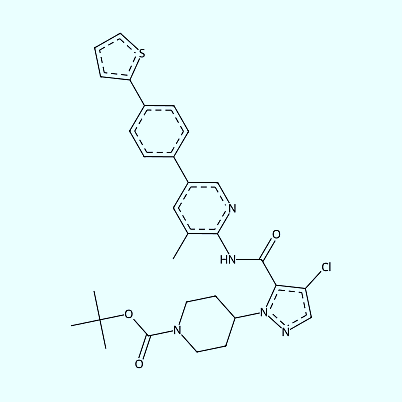 Cc1cc(-c2ccc(-c3cccs3)cc2)cnc1NC(=O)c1c(Cl)cnn1C1CCN(C(=O)OC(C)(C)C)CC1